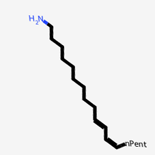 CCCCC/C=C\C=C\CCCCCCCCCN